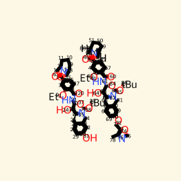 CCOc1cc(C(=O)N2C3CCCC2COC3)ccc1C(=O)NC[C@@H](O)[C@@H]1Cc2ccc(O)cc2CN1C(=O)OC(C)(C)C.CCOc1cc(C(=O)N2[C@@H]3CCC[C@H]2COC3)ccc1C(=O)NC[C@@H](O)[C@@H]1Cc2ccc(OCc3ocnc3C)cc2CN1C(=O)OC(C)(C)C